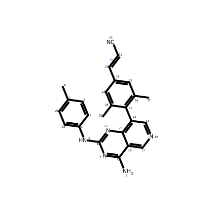 Cc1ccc(Nc2nc(N)c3cncc(-c4c(C)cc(/C=C/C#N)cc4C)c3n2)cc1